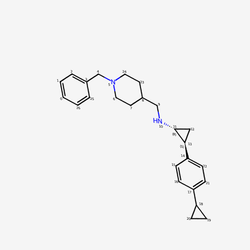 c1ccc(CN2CCC(CN[C@@H]3C[C@H]3c3ccc(C4CC4)cc3)CC2)cc1